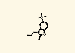 C=C/C=c1\c(=C)oc2ccc([Si](C)(C)C)cc12